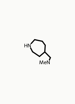 CNCC1CCCNCC1